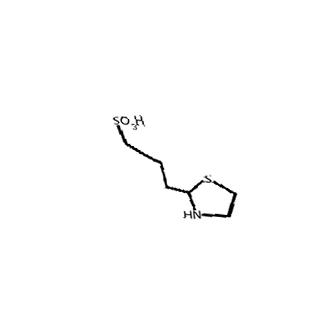 O=S(=O)(O)CCCC1NCCS1